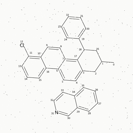 CC1Cc2ccc3c(ccc4c(Cl)cccc43)c2C(c2ccccc2)C1.c1ccc2cnccc2c1